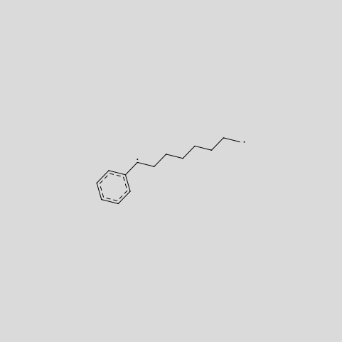 [CH2]CCCCCC[CH]c1ccccc1